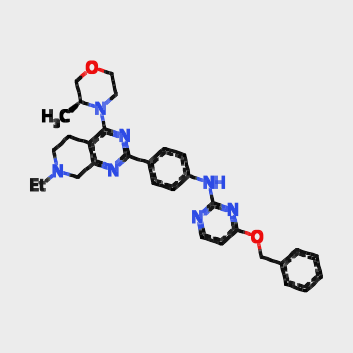 CCN1CCc2c(nc(-c3ccc(Nc4nccc(OCc5ccccc5)n4)cc3)nc2N2CCOC[C@@H]2C)C1